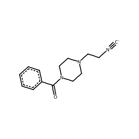 [C-]#[N+]CCN1CCN(C(=O)c2ccccc2)CC1